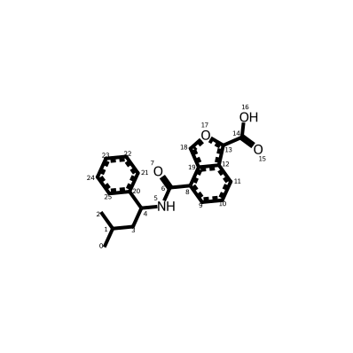 CC(C)CC(NC(=O)c1cccc2c(C(=O)O)occ12)c1ccccc1